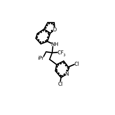 CC(C)CC(Cc1cc(Cl)nc(Cl)c1)(Nc1cccc2ccoc12)C(F)(F)F